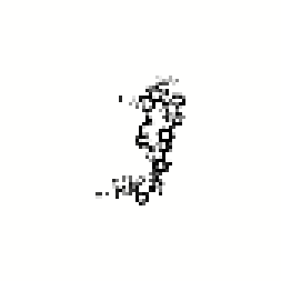 COC(=O)NC(C(=O)N1CCC[C@H]1c1ncc(-c2ccc3c(c2)cc2n3C(c3ccc(CC4CC4)s3)Oc3cc(-c4cnc([C@@H]5CCCN5C(=O)[C@@H](NC(=O)OC)C(C)C)[nH]4)cc(F)c3-2)[nH]1)C1CCOC(C)(C)C1